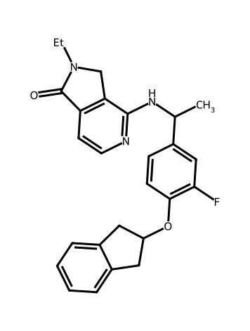 CCN1Cc2c(ccnc2NC(C)c2ccc(OC3Cc4ccccc4C3)c(F)c2)C1=O